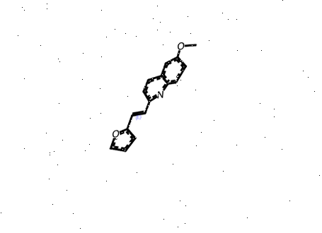 COc1ccc2nc(/C=C/c3ccco3)ccc2c1